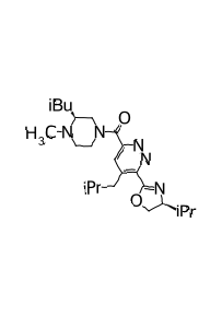 CCC(C)[C@H]1CN(C(=O)c2cc(CC(C)C)c(C3=N[C@@H](C(C)C)CO3)nn2)CCN1C